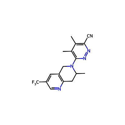 Cc1c(C#N)nnc(N2Cc3cc(C(F)(F)F)cnc3CC2C)c1C